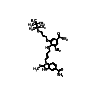 C/N=c1\[nH]c2cc(C(N)=O)ccc2n1C/C=C/CNc1c(N)cc(C(N)=O)cc1OCCCO[Si](C)(C)C(C)(C)C